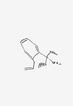 C=Cc1ccccc1C(N)(CCCCCC)CCCCCC